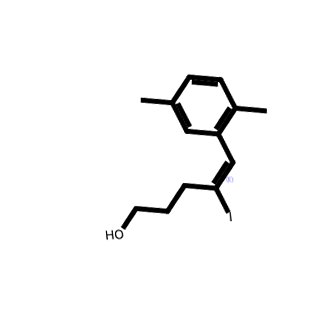 Cc1ccc(C)c(/C=C(/I)CCCO)c1